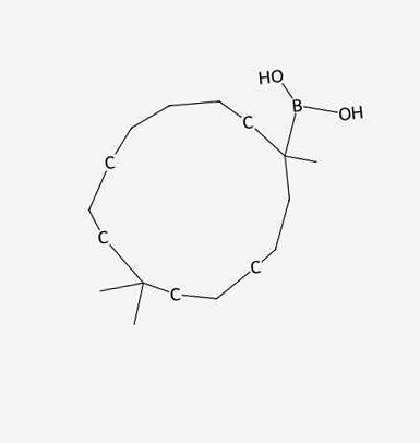 CC1(C)CCCCCCCC(C)(B(O)O)CCCCC1